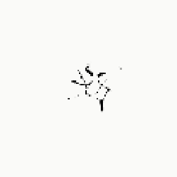 CC1(C)[C@H](C(=O)O)N2C(=O)C[C@H]2S1(=O)=O.[Na]